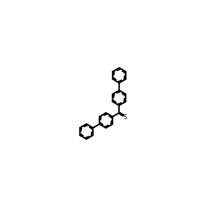 S=C(c1ccc(-c2ccccc2)cc1)c1ccc(-c2ccccc2)cc1